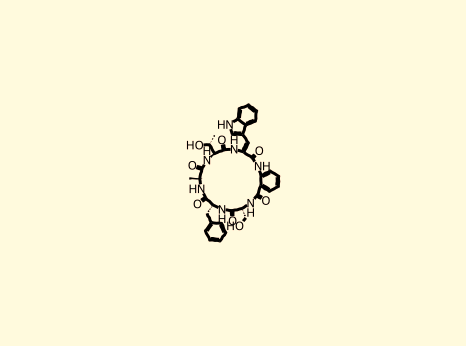 C[C@@H]1NC(=O)[C@@H](Cc2ccccc2)NC(=O)[C@@H](CO)NC(=O)c2ccccc2NC(=O)/C(=C/c2c[nH]c3ccccc23)NC(=O)[C@H]([C@@H](C)O)NC1=O